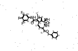 C[C@@H](OCc1ccccc1)[C@H]1C=Cc2c(cn(C)c2C(=O)Nc2cc(F)c(F)c(F)c2)S(=N)(=O)N1